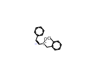 [O-][S+](/C=C\c1ccccc1)Cc1ccccc1Cl